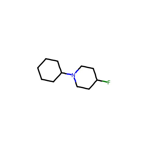 FC1CCN(C2CCCCC2)CC1